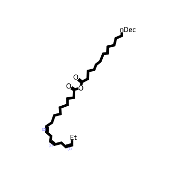 CC/C=C\C/C=C\C/C=C\CCCCCCCC(=O)OC(=O)CCCCCCCCCCCCCCCCCCCCC